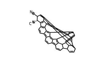 [C-]#[N+]C1c2c3ccc4c5ccc6c7c8c9c%10c%11c%12c%13c(c2c2c3c4c(c5c69)c%10c%122)=C(C1C#N)C1C=CC2C(C=C7)C8C=%11C2C%131